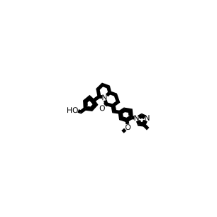 COc1cc(/C=C2\CCC3CCCC(c4ccc(CO)cc4)N3C2=O)ccc1-n1cnc(C)c1